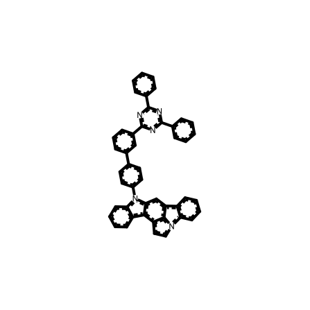 c1ccc(-c2nc(-c3ccccc3)nc(-c3cccc(-c4ccc(-n5c6ccccc6c6c7ccn8c9ccccc9c(cc65)c78)cc4)c3)n2)cc1